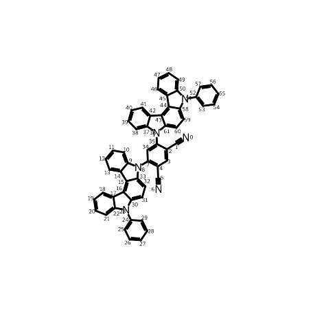 N#Cc1cc(C#N)c(-n2c3ccccc3c3c4c5ccccc5n(-c5ccccc5)c4ccc32)cc1-n1c2ccccc2c2c3c4ccccc4n(-c4ccccc4)c3ccc21